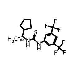 C[C@H](NC(=S)Nc1cc(C(F)(F)F)cc(C(F)(F)F)c1)C1CCCC1